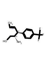 C/C=C/[C@@H](c1ccc(C(F)(F)F)cc1)[C@H](N)CO